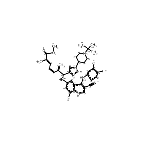 C=C(/C=C\C=C(/C)C(=O)OC)[C@H](Nc1cc(Cl)c2ncc(C#N)c(Nc3ccc(F)c(Cl)c3)c2c1)c1cn(C2CCN(C(C)(C)C)CC2)nn1